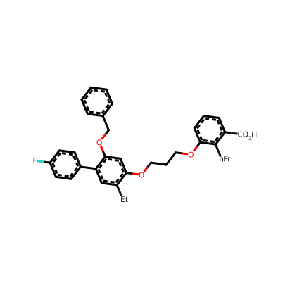 CCCc1c(OCCCOc2cc(OCc3ccccc3)c(-c3ccc(F)cc3)cc2CC)cccc1C(=O)O